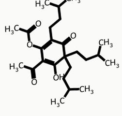 CC(=O)OC1=C(CCC(C)C)C(=O)C(CCC(C)C)(CCC(C)C)C(O)=C1C(C)=O